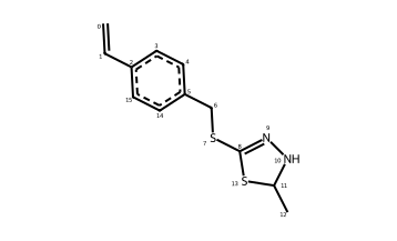 C=Cc1ccc(CSC2=NNC(C)S2)cc1